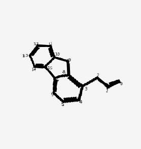 C=CCc1cccc2c1[CH]c1ccccc1-2